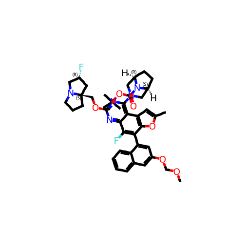 COCOc1cc(-c2c(F)c3nc(OC[C@@]45CCCN4C[C@H](F)C5)nc(N4C[C@H]5CC[C@@H](C4)N5C(=O)OC(C)(C)C)c3c3cc(C)oc23)c2ccccc2c1